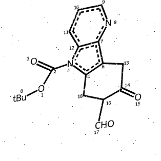 CC(C)(C)OC(=O)n1c2c(c3ncccc31)CC(=O)C(C=O)C2